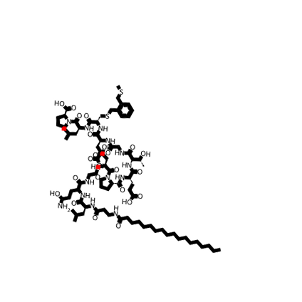 CCCCCCCCCCCCCCCCCC(=O)NCCC(=O)N[C@@H](CC(C)C)C(=O)NC(CCC(N)O)C(=O)NCC(=O)N[C@@H](CC(=O)O)C(=O)N1CCC[C@H]1C(=O)N[C@@H](CCC(=O)O)C(=O)N[C@H](C(=O)NCC(=O)N[C@@H](CCC(=O)O)C(=O)N[C@@H](CSCc1ccccc1CSC)C(=O)N[C@@H](CC(C)C)C(=O)N1CCC[C@H]1C(=O)O)[C@@H](C)O